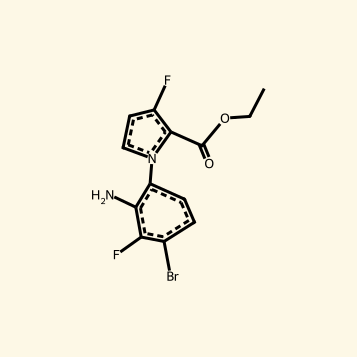 CCOC(=O)c1c(F)ccn1-c1ccc(Br)c(F)c1N